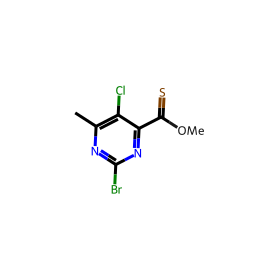 COC(=S)c1nc(Br)nc(C)c1Cl